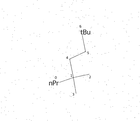 CCCC(C)(C)CCC(C)(C)C